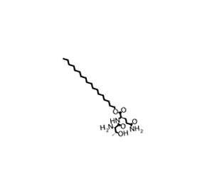 CCCCCCCCCCCCCCCCCCOC(=O)[C@@H](CCC(N)=O)NC(=O)[C@@H](N)[C@@H](C)O